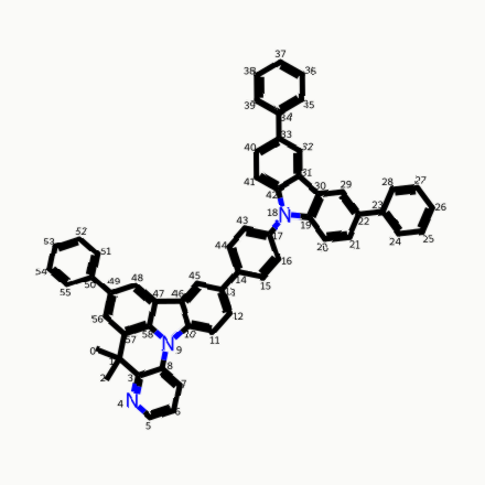 CC1(C)c2ncccc2-n2c3ccc(-c4ccc(-n5c6ccc(-c7ccccc7)cc6c6cc(-c7ccccc7)ccc65)cc4)cc3c3cc(-c4ccccc4)cc1c32